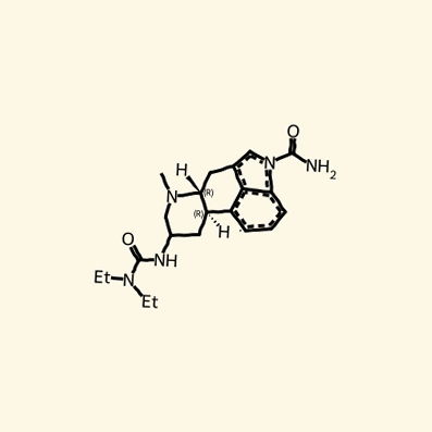 CCN(CC)C(=O)NC1C[C@@H]2c3[c]ccc4c3c(cn4C(N)=O)C[C@H]2N(C)C1